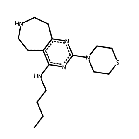 CCCCNc1nc(N2CCSCC2)nc2c1CCNCC2